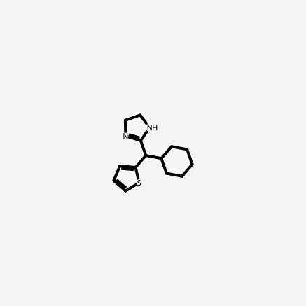 c1csc(C(C2=NCCN2)C2CCCCC2)c1